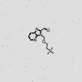 C[Si](C)(C)CCOCn1c(C=O)nc2cccnc21